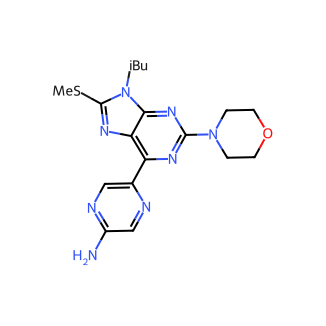 CCC(C)n1c(SC)nc2c(-c3cnc(N)cn3)nc(N3CCOCC3)nc21